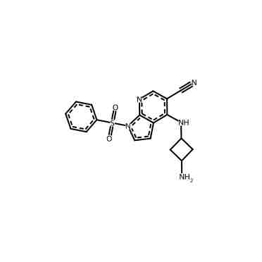 N#Cc1cnc2c(ccn2S(=O)(=O)c2ccccc2)c1NC1CC(N)C1